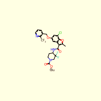 Cc1oc2c(Cl)cc(OCc3cccnc3C(F)(F)F)cc2c1C(=O)NC1CCN(C(=O)OC(C)(C)C)CC1(F)F